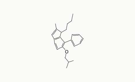 CCCCC1C(C)=Cc2ccc(OCC(C)C)c(-c3ccccc3)c21